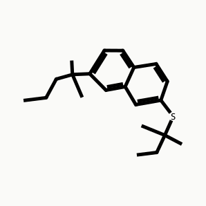 CCCC(C)(C)c1ccc2ccc(SC(C)(C)CC)cc2c1